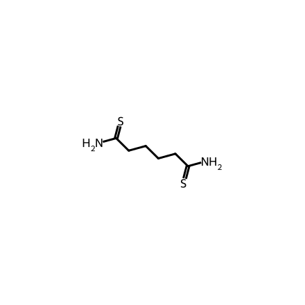 NC(=S)CCCCC(N)=S